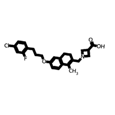 CC1=C(CN2CC(C(=O)O)C2)CCc2cc(OCCCc3ccc(Cl)cc3F)ccc21